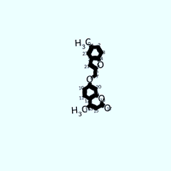 Cc1ccc2oc(COc3ccc4c(C)cc(=O)oc4c3)cc2c1